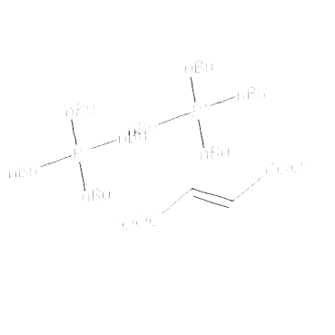 CCCC[P+](CCCC)(CCCC)CCCC.CCCC[P+](CCCC)(CCCC)CCCC.O=C([O-])C=CC(=O)[O-]